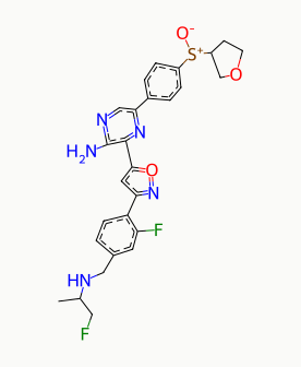 CC(CF)NCc1ccc(-c2cc(-c3nc(-c4ccc([S+]([O-])C5CCOC5)cc4)cnc3N)on2)c(F)c1